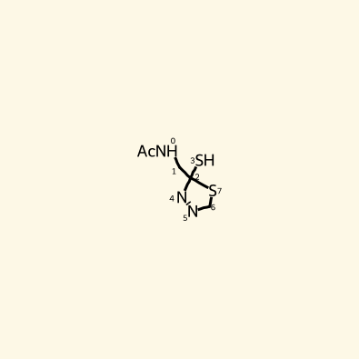 CC(=O)NCC1(S)N=NCS1